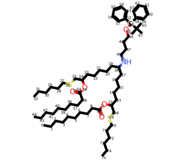 CCCCCCCCCC(=O)OC(CCCCCC(CCCCCC(CSCCCCCC)OC(=O)CCCCCCCCC)NCCCCO[Si](c1ccccc1)(c1ccccc1)C(C)(C)C)CSCCCCCC